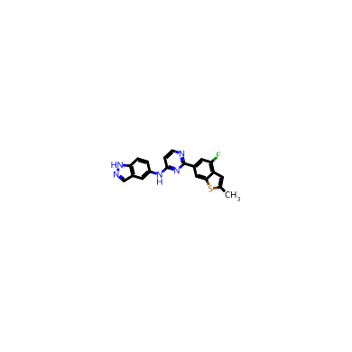 Cc1cc2c(F)cc(-c3nccc(Nc4ccc5[nH]ncc5c4)n3)cc2s1